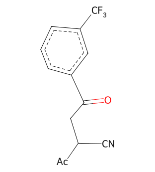 CC(=O)C(C#N)CC(=O)c1cccc(C(F)(F)F)c1